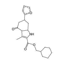 CC1=C(C(=O)OCC2CCCCC2)NC2CC(c3ccco3)CC(=O)C12